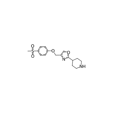 CS(=O)(=O)c1ccc(OCc2coc(C3CCNCC3)n2)cc1